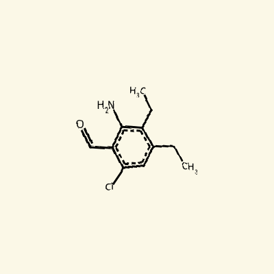 CCc1cc(Cl)c(C=O)c(N)c1CC